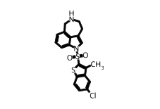 Cc1c(S(=O)(=O)n2cc3c4c(cccc42)CNCC3)sc2ccc(Cl)cc12